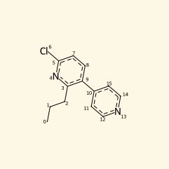 CCCc1nc(Cl)ccc1-c1ccncc1